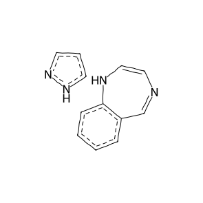 C1=CNc2ccccc2C=N1.c1cn[nH]c1